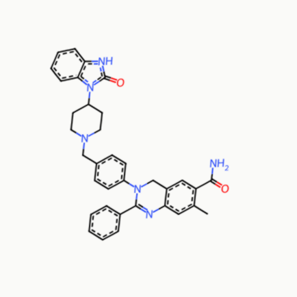 Cc1cc2c(cc1C(N)=O)CN(c1ccc(CN3CCC(n4c(=O)[nH]c5ccccc54)CC3)cc1)C(c1ccccc1)=N2